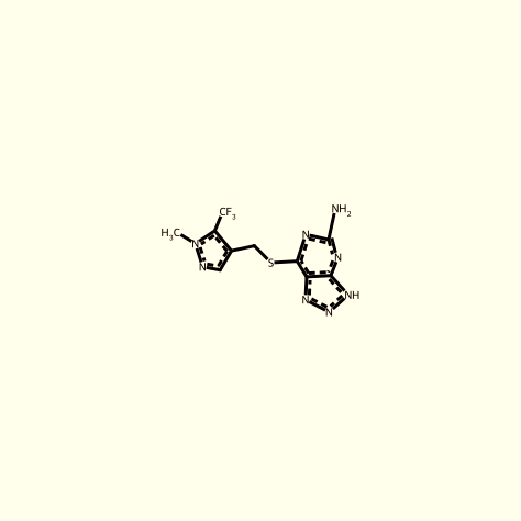 Cn1ncc(CSc2nc(N)nc3[nH]nnc23)c1C(F)(F)F